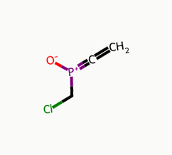 C=C=[P+]([O-])CCl